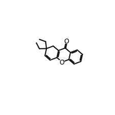 CCC1(CC)C=Cc2oc3ccccc3c(=O)c2C1